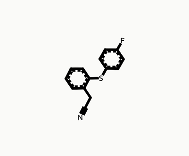 N#CCc1ccccc1Sc1ccc(F)cc1